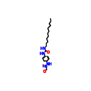 CCCCCCCCCCCCNC(=O)Nc1ccc(NN(I)C=O)cc1